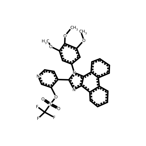 COc1cc(-n2c(-c3ccncc3OS(=O)(=O)C(F)(F)F)nc3c4ccccc4c4ccccc4c32)cc(OC)c1OC